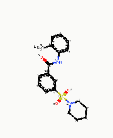 O=C(Nc1ccccc1C(=O)O)c1cccc(S(=O)(=O)N2CCCCC2)c1